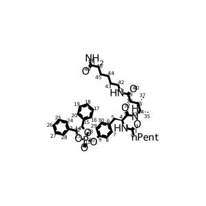 CCCCCC(=O)N[C@@H](Cc1ccc(OP(=O)(OCc2ccccc2)OCc2ccccc2)cc1)C(=O)N[C@@H](C)[C@@H](C)CC(=O)NCCCCCC(N)=O